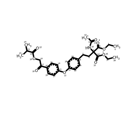 CCOC(=O)C(CCc1ccc(Oc2ccc(C(=O)COC(=O)C(C)C)cc2)cc1)(NC(C)=O)C(=O)OCC